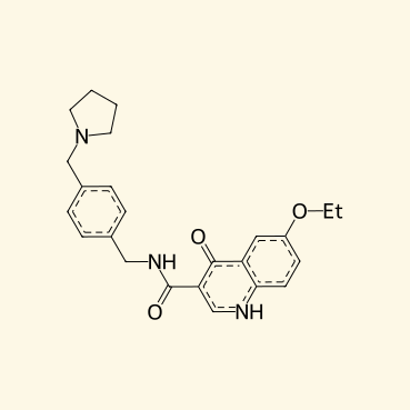 CCOc1ccc2[nH]cc(C(=O)NCc3ccc(CN4CCCC4)cc3)c(=O)c2c1